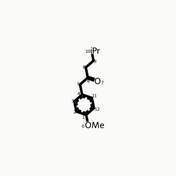 COc1ccc(CC(=O)CCC(C)C)cc1